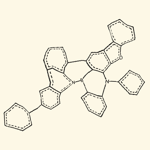 c1ccc(-c2ccc3c(c2)c2cccc4c2n3B2c3ccccc3N(c3ccccc3)c3c2c-4cc2c3oc3ccccc32)cc1